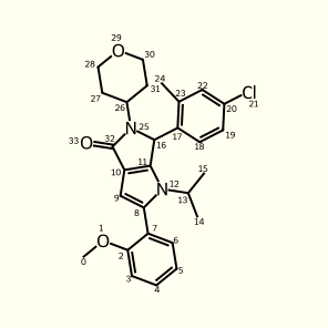 COc1ccccc1-c1cc2c(n1C(C)C)C(c1ccc(Cl)cc1C)N(C1CCOCC1)C2=O